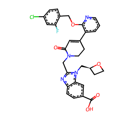 O=C(O)c1ccc2nc(CN3CCC(c4cccnc4OCc4ccc(Cl)cc4F)=CC3=O)n(C[C@@H]3CCO3)c2c1